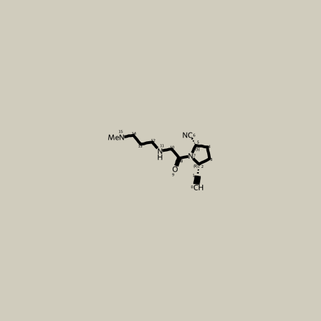 C#C[C@H]1CC[C@@H](C#N)N1C(=O)CNCCCNC